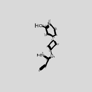 C=CC(=N)O[C@H]1C[C@H](c2ccnc(O)c2)C1